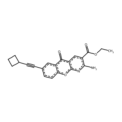 CCOC(=O)c1cc2c(=O)c3cc(C#CC4CCC4)ccc3oc2nc1N